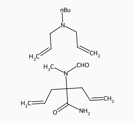 C=CCC(CC=C)(C(N)=O)N(C)C=O.C=CCN(CC=C)CCCC